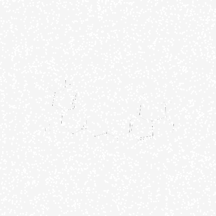 C/C=C(/C)c1ccc(CCCNC[C@H](C)c2ccc(F)c(C)c2)cc1C